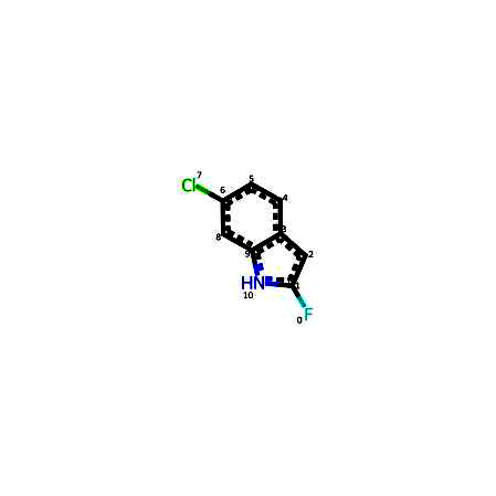 Fc1cc2ccc(Cl)cc2[nH]1